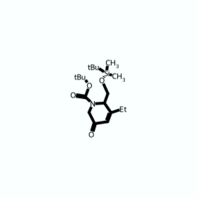 CCC1=CC(=O)CN(C(=O)OC(C)(C)C)C1CO[Si](C)(C)C(C)(C)C